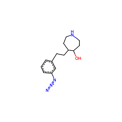 [N-]=[N+]=Nc1cccc(CCC2CCNCCC2O)c1